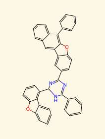 c1ccc(C2=NC(c3ccc4oc5c(-c6ccccc6)c6ccccc6cc5c4c3)=NC(c3cccc4oc5ccccc5c34)N2)cc1